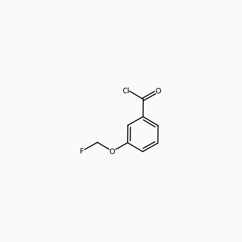 O=C(Cl)c1cccc(OCF)c1